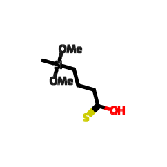 CO[Si](C)(CCCC(O)=S)OC